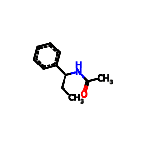 CCC(NC(C)=O)c1ccccc1